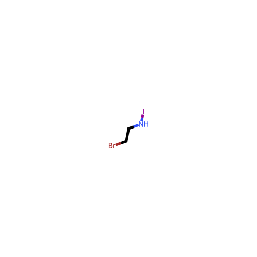 BrCCNI